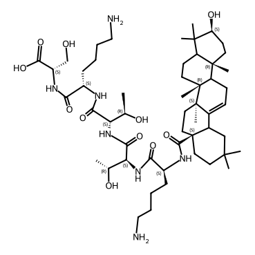 C[C@@H](O)[C@H](NC(=O)[C@H](CCCCN)NC(=O)[C@]12CCC(C)(C)CC1C1=CCC3[C@@]4(C)CC[C@H](O)C(C)(C)C4CC[C@@]3(C)[C@]1(C)CC2)C(=O)N[C@H](C(=O)N[C@@H](CCCCN)C(=O)N[C@@H](CO)C(=O)O)[C@@H](C)O